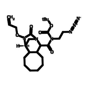 C=CCON1C(=O)N2C[C@H]1C1CCCCCCC1C2C(=O)N(CCN=[N+]=[N-])C(=O)OC(C)(C)C